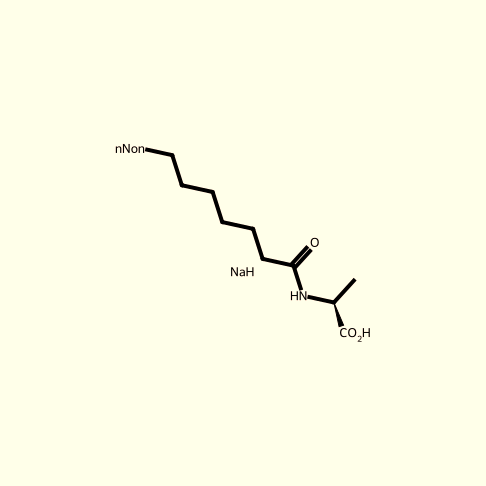 CCCCCCCCCCCCCCCC(=O)N[C@@H](C)C(=O)O.[NaH]